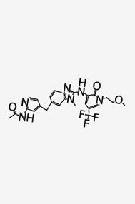 COCCn1cc(C(F)(F)F)cc(Nc2nc3ccc(Cc4ccnc(NC(C)=O)c4)cc3n2C)c1=O